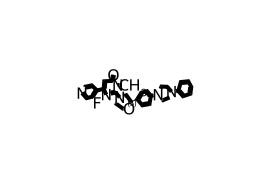 Cn1c(N2CCO[C@@H](c3ccc(N4CCN(c5ccccc5)CC4)cc3)C2)nc(-c2ccncc2F)cc1=O